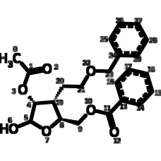 CC(=O)O[C@H]1C(O)O[C@H](COC(=O)c2ccccc2)[C@H]1CCOCc1ccccc1